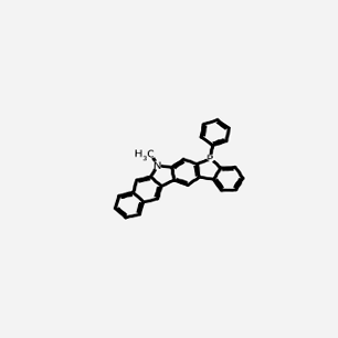 Cn1c2cc3ccccc3cc2c2cc3c4ccccc4p(-c4ccccc4)c3cc21